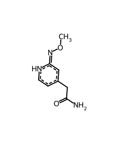 CON=c1cc(CC(N)=O)cc[nH]1